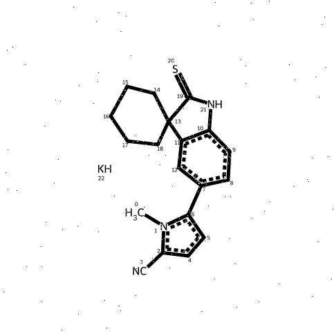 Cn1c(C#N)ccc1-c1ccc2c(c1)C1(CCCCC1)C(=S)N2.[KH]